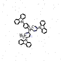 C=C(/C=C\C(=C/C)N(C/C=C\C(=C/C)n1c2ccccc2c2ccccc21)c1ccc(-n2c3ccccc3c3ccccc32)cc1)n1c2ccccc2c2ccccc21